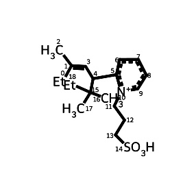 CC/C(C)=C\C(c1cccc[n+]1CCCS(=O)(=O)O)C(C)(C)CC